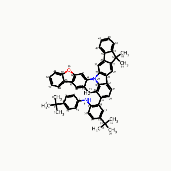 CC(C)(C)c1ccc(Nc2ccc(C(C)(C)C)cc2-c2ccc3c4cc5c(cc4n4c3c2Bc2cc3c(cc2-4)oc2ccccc23)-c2ccccc2C5(C)C)cc1